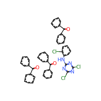 Clc1nc(Cl)nc(Nc2ccccc2Cl)n1.O=C(c1ccccc1)c1ccccc1.O=C(c1ccccc1)c1ccccc1.O=C(c1ccccc1)c1ccccc1